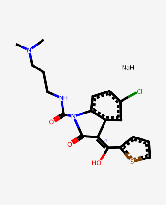 CN(C)CCCNC(=O)N1C(=O)/C(=C(\O)c2cccs2)c2cc(Cl)ccc21.[NaH]